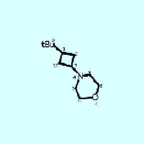 CC(C)(C)C1CC(N2CCOCC2)C1